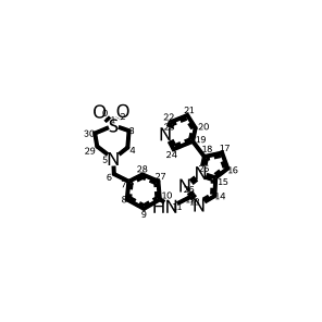 O=S1(=O)CCN(Cc2ccc(Nc3ncc4ccc(-c5cccnc5)n4n3)cc2)CC1